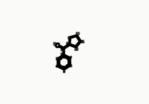 [O]C(c1ccccc1)C1CCCC1